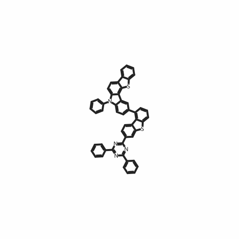 c1ccc(-c2nc(-c3ccccc3)nc(-c3ccc4c(c3)sc3cccc(-c5ccc6c(c5)c5c7sc8ccccc8c7ccc5n6-c5ccccc5)c34)n2)cc1